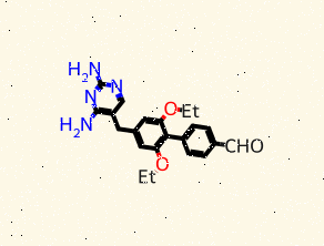 CCOc1cc(Cc2cnc(N)nc2N)cc(OCC)c1-c1ccc(C=O)cc1